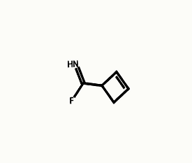 N=C(F)C1C=CC1